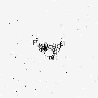 C[C@H]1C/C=C/[C@H](O)[C@@H]2CC[C@H]2CN2C[C@@]3(CCCc4cc(Cl)ccc43)COc3ccc(cc32)C(=O)N=[S@](=O)(NC(=O)N[C@H]2C[C@@H]2C(F)F)C1